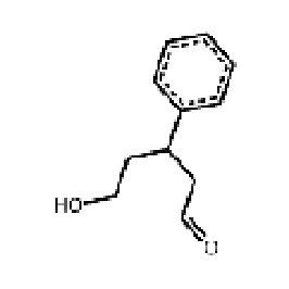 O=CCC(CCO)c1ccccc1